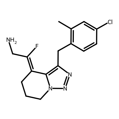 Cc1cc(Cl)ccc1Cc1nnn2c1/C(=C(\F)CN)CCC2